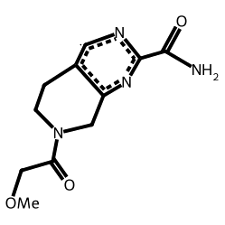 COCC(=O)N1CCc2[c]nc(C(N)=O)nc2C1